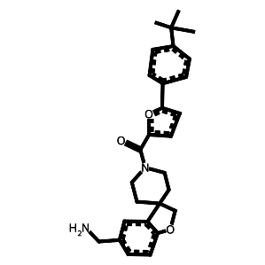 CC(C)(C)c1ccc(-c2ccc(C(=O)N3CCC4(CC3)COc3ccc(CN)cc34)o2)cc1